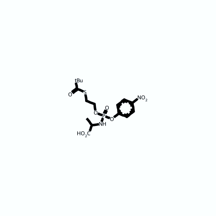 CC(NP(=O)(OCCSC(=O)C(C)(C)C)Oc1ccc([N+](=O)[O-])cc1)C(=O)O